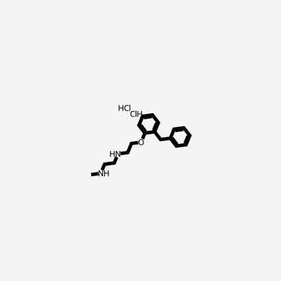 CNCCNCCOc1ccccc1Cc1ccccc1.Cl.Cl